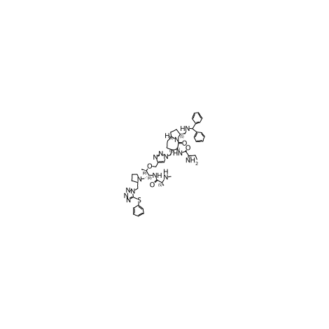 CC[C@H](N)C(=O)N[C@@H]1C(=O)N2[C@@H](CC[C@@H]1Cn1cc(CO[C@H](C)[C@@H](CN3CCCC3Cn3nnnc3Sc3ccccc3)NC(=O)[C@H](C)NC)nn1)CC[C@H]2CNC(c1ccccc1)c1ccccc1